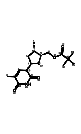 Cc1cn([C@H]2C[C@H](F)[C@@H](COC(=O)C(C)(C)C)O2)c(=O)[nH]c1=O